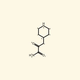 NC(=O)C(=O)[CH]C1CCNCC1